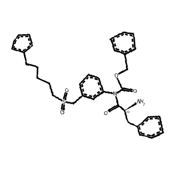 N[C@@H](Cc1ccccc1)C(=O)N(C(=O)OCc1ccccc1)c1cccc(CS(=O)(=O)CCCCCc2ccccc2)c1